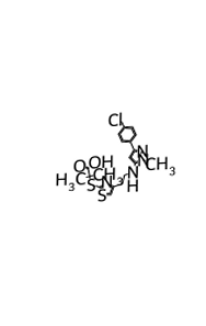 Cn1nc(-c2ccc(Cl)cc2)cc1NCCc1csc(SC(C)(C)C(=O)O)n1